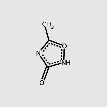 Cc1nc(=O)[nH]o1